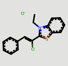 CC[n+]1c(C(Cl)=Cc2ccccc2)sc2ccccc21.[Cl-]